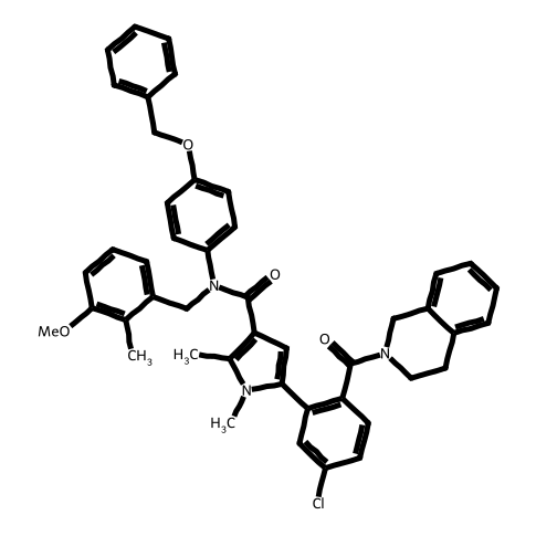 COc1cccc(CN(C(=O)c2cc(-c3cc(Cl)ccc3C(=O)N3CCc4ccccc4C3)n(C)c2C)c2ccc(OCc3ccccc3)cc2)c1C